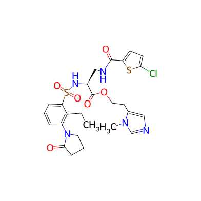 CCc1c(N2CCCC2=O)cccc1S(=O)(=O)N[C@@H](CNC(=O)c1ccc(Cl)s1)C(=O)OCCc1cncn1C